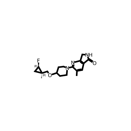 Cc1cc2c(nc1N1CCC(OC[C@@]3(C)C[C@H]3F)CC1)CNC2=O